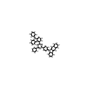 c1ccc(-c2nc(-c3ccc(-n4c5ccccc5c5cc6ccccc6cc54)cc3)nc(-c3cccc4c3c3ccccc3n4-c3ccccc3)n2)cc1